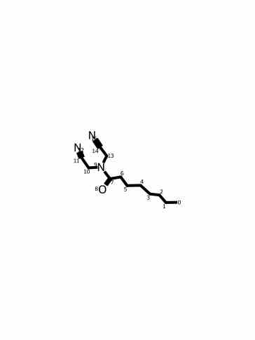 CCCCCCCC(=O)N(CC#N)CC#N